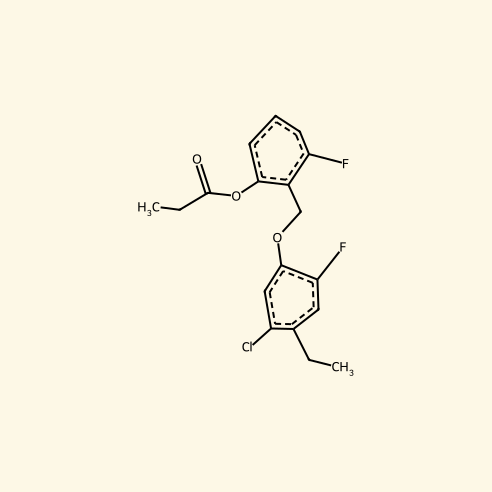 CCC(=O)Oc1cccc(F)c1COc1cc(Cl)c(CC)cc1F